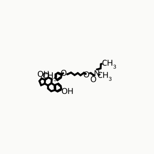 CCCCN(C)C(=O)COCCCCCCOc1ccc([C@H]2C[C@@]3(C)C(CC[C@@H]3O)C3CCc4cc(O)ccc4C32)cc1